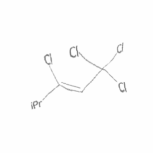 CC(C)C(Cl)=CC(Cl)(Cl)Cl